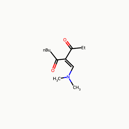 CCCCC(=O)/C(=C\N(C)C)C(=O)CC